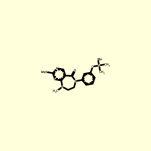 CSc1ncc2c(n1)N(C)CCN(c1cccc(O[Si](C)(C)C(C)(C)C)c1)C2=O